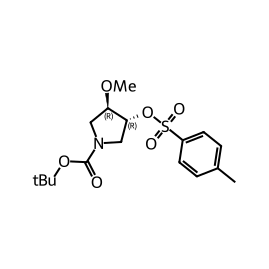 CO[C@@H]1CN(C(=O)OC(C)(C)C)C[C@H]1OS(=O)(=O)c1ccc(C)cc1